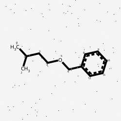 CC(C)CCO[CH]c1ccccc1